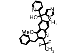 COc1c(Cc2ccccc2)c(C(C)(F)F)nc2ccc(C(O)(c3ccccn3)c3cncn3C)cc12